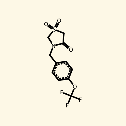 O=C1CS(=O)(=O)CN1Cc1ccc(OC(F)(F)F)cc1